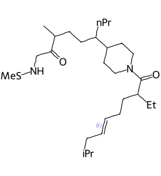 CCCC(CCC(C)C(=O)CNSC)C1CCN(C(=O)C(CC)CC/C=C/CC(C)C)CC1